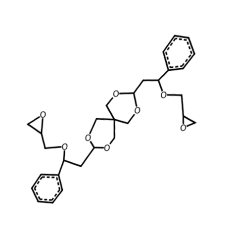 c1ccc(C(CC2OCC3(CO2)COC(CC(OCC2CO2)c2ccccc2)OC3)OCC2CO2)cc1